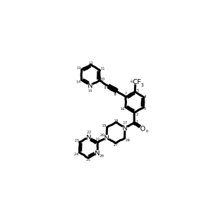 O=C(c1ccc(C(F)(F)F)c(C#Cc2ccccn2)c1)N1CCN(c2ncccn2)CC1